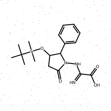 CC(C)(C)[Si](C)(C)OC1CC(=O)N(NC(=N)C(=O)O)C1c1ccccc1